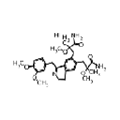 COc1ccc(CC2=NCCc3cc(CC(C)(OC)C(N)=O)c(CC(C)(OC)C(N)=O)cc32)cc1OC.I